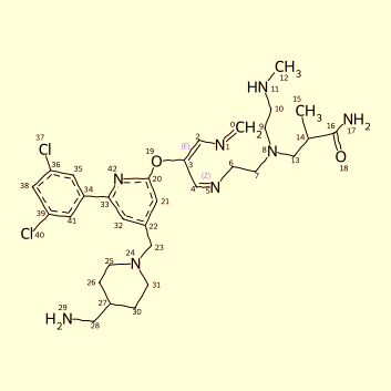 C=N/C=C(\C=N/CCN(CCNC)CC(C)C(N)=O)Oc1cc(CN2CCC(CN)CC2)cc(-c2cc(Cl)cc(Cl)c2)n1